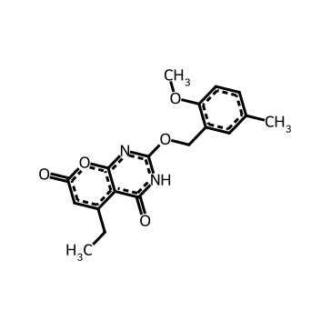 CCc1cc(=O)oc2nc(OCc3cc(C)ccc3OC)[nH]c(=O)c12